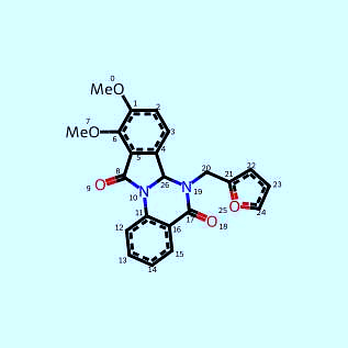 COc1ccc2c(c1OC)C(=O)N1c3ccccc3C(=O)N(Cc3ccco3)C21